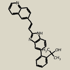 CC(C)(O)c1ccccc1-c1ccc2[nH]c(C=Cc3ccc4ncccc4c3)nc2c1